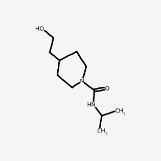 CC(C)NC(=O)N1CCC(CCO)CC1